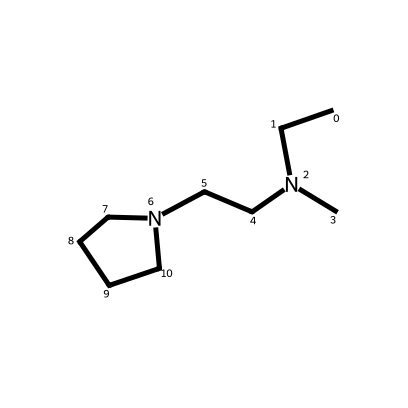 CCN(C)CCN1CCCC1